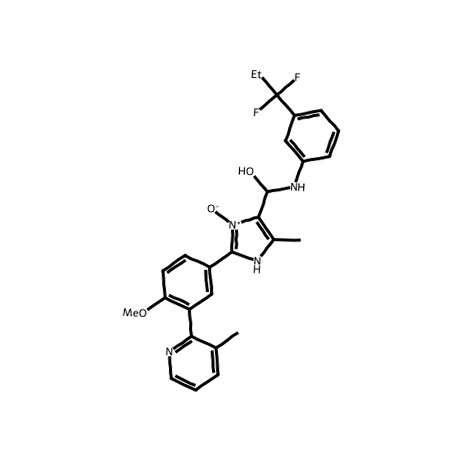 CCC(F)(F)c1cccc(NC(O)c2c(C)[nH]c(-c3ccc(OC)c(-c4ncccc4C)c3)[n+]2[O-])c1